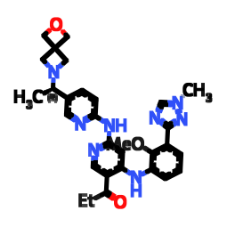 CCC(=O)c1cnc(Nc2ccc([C@@H](C)N3CC4(COC4)C3)cn2)cc1Nc1cccc(-c2ncn(C)n2)c1OC